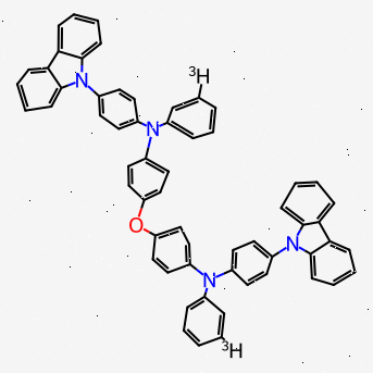 [3H]c1cccc(N(c2ccc(Oc3ccc(N(c4ccc(-n5c6ccccc6c6ccccc65)cc4)c4cccc([3H])c4)cc3)cc2)c2ccc(-n3c4ccccc4c4ccccc43)cc2)c1